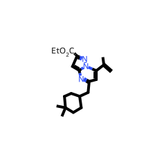 C=C(C)c1cc(CC2CCC(C)(C)CC2)nc2cc(C(=O)OCC)nn12